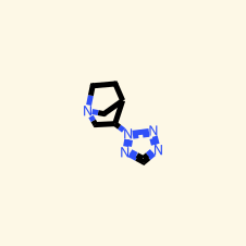 c1nnn(C2CN3CCC2C3)n1